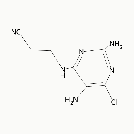 N#CCCNc1nc(N)nc(Cl)c1N